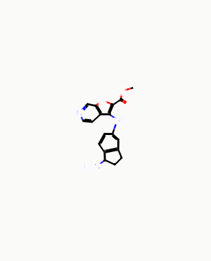 COC(=O)c1oc2cnccc2c1Nc1ccc2c(c1)CCC2N